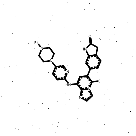 CCN1CCN(c2ccc(Nc3cc(-c4ccc5c(c4)NC(=O)C5)c(Cl)n4ccnc34)nc2)CC1